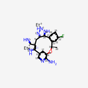 CCN/N=C1/C/C(C=N)=C(/NCC)c2cnc(N)c(c2)O[C@H](C)c2cc(F)ccc2C1=N